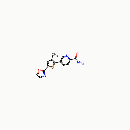 Cc1cc(-c2ncco2)sc1-c1ccc(C(N)=O)nc1